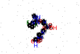 C#Cc1c(F)ccc2cccc(-c3ncc4c(N5CC6CCC(C5)N6)nc(OC[C@@]56CCCN5[C@H](CC5C(OC7CCN(Cc8cccc9c8n(C)c(=O)n9C8CCC(=O)NC8=O)CC7)CN5C(=O)O)CC6)nc4c3F)c12